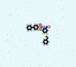 O=Cc1cc(SCCc2ccccc2)ccc1NS(=O)(=O)c1ccc(-c2ccccc2)cc1